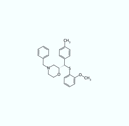 COc1ccccc1SC(c1ccc(C)cc1)[C@H]1CN(Cc2ccccc2)CCO1